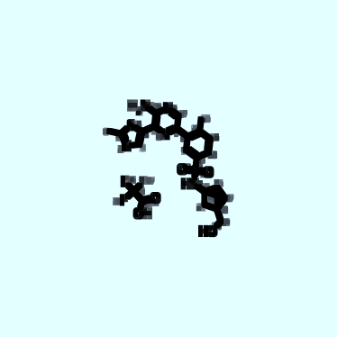 Cc1ncc(-c2nc(-c3cc(S(=O)(=O)NC45CCC(CO)(C4)C5)ccc3C)cnc2N)s1.O=C(O)C(F)(F)F